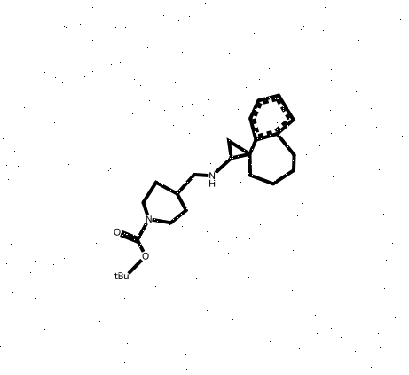 CC(C)(C)OC(=O)N1CCC(CNC2CC23CCCCc2ccccc23)CC1